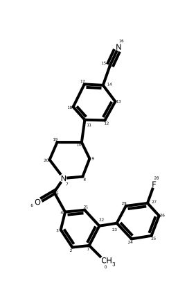 Cc1ccc(C(=O)N2CCC(c3ccc(C#N)cc3)CC2)cc1-c1cc[c]c(F)c1